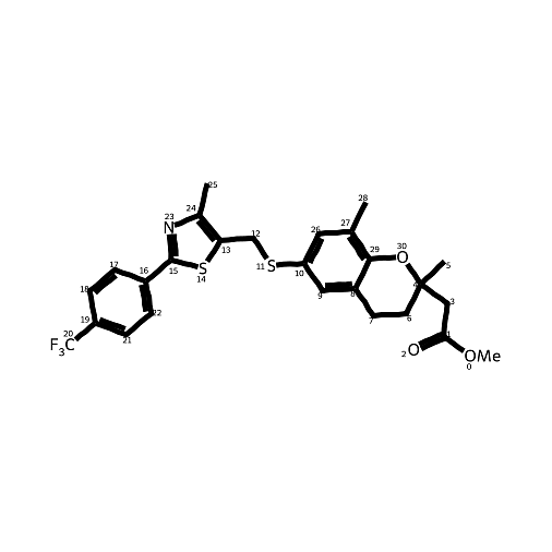 COC(=O)CC1(C)CCc2cc(SCc3sc(-c4ccc(C(F)(F)F)cc4)nc3C)cc(C)c2O1